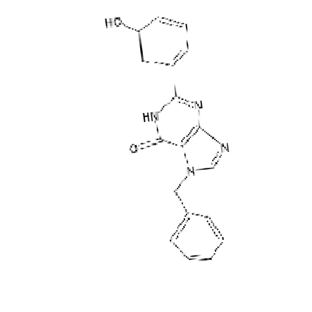 O=c1[nH]c(-c2cccc(O)c2)nc2ncn(Cc3ccccc3)c12